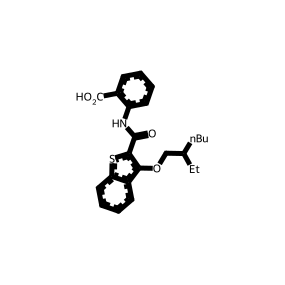 CCCCC(CC)COc1c(C(=O)Nc2ccccc2C(=O)O)sc2ccccc12